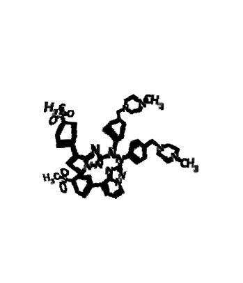 CN1CCN(Cc2ccc(N(c3nc4c(-c5ccc(S(C)(=O)=O)cc5)cccn4n3)N(c3ccc(CN4CCN(C)CC4)cc3)c3nc4c(-c5ccc(S(C)(=O)=O)cc5)cccn4n3)cc2)CC1